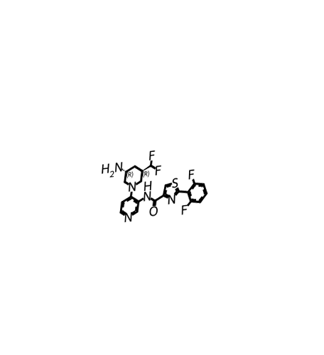 N[C@@H]1C[C@@H](C(F)F)CN(c2ccncc2NC(=O)c2csc(-c3c(F)cccc3F)n2)C1